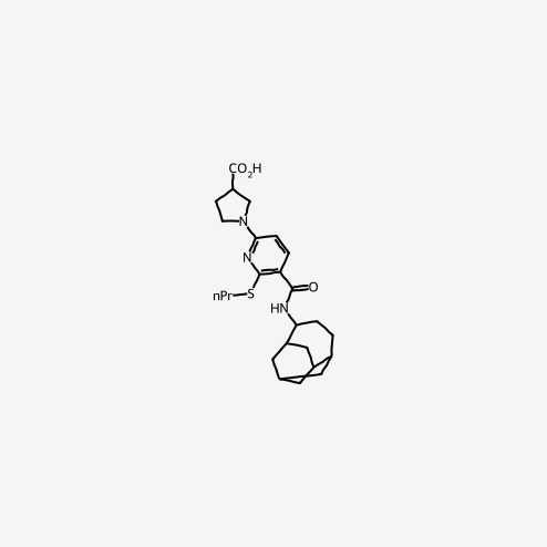 CCCSc1nc(N2CCC(C(=O)O)C2)ccc1C(=O)NC1CCC2CC3CC2CC1C3